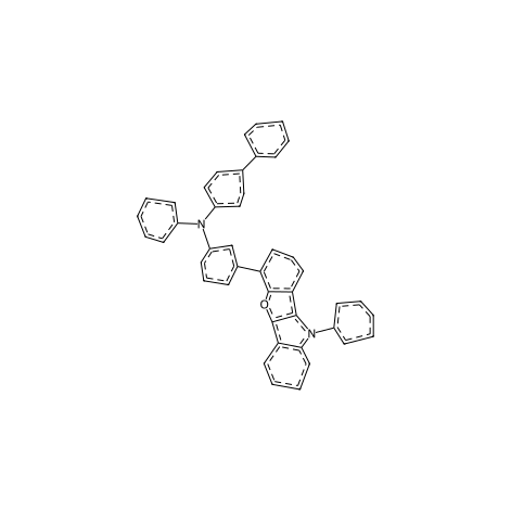 c1ccc(-c2ccc(N(c3ccccc3)c3cccc(-c4cccc5c4oc4c6ccccc6n(-c6ccccc6)c54)c3)cc2)cc1